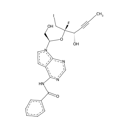 CC#C[C@H](O)[C@@](F)(CI)O[C@H](CO)n1ccc2c(NC(=O)c3ccccc3)ncnc21